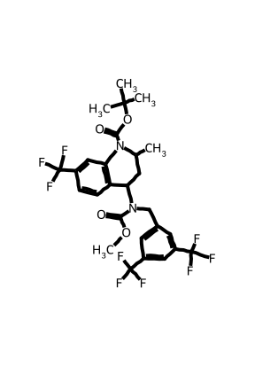 COC(=O)N(Cc1cc(C(F)(F)F)cc(C(F)(F)F)c1)C1CC(C)N(C(=O)OC(C)(C)C)c2cc(C(F)(F)F)ccc21